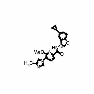 COc1nc(C(=O)N[C@@H]2COc3ccc(C4CC4)cc32)ccc1-n1cnc(C)c1